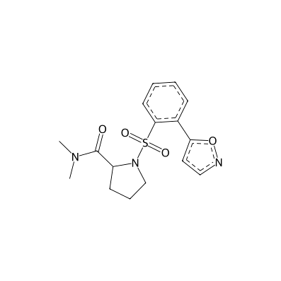 CN(C)C(=O)C1CCCN1S(=O)(=O)c1ccccc1-c1ccno1